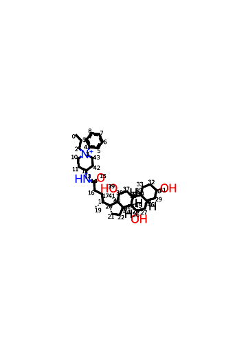 CCC[N+]1(c2ccccc2)CCC(NC(=O)CC[C@@H](C)[C@H]2CC[C@H]3[C@@H]4[C@H](O)C[C@@H]5C[C@H](O)CC[C@]5(C)[C@H]4C[C@H](O)[C@]23C)CC1